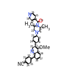 COc1c(-c2ccc(N3CC(C)N(C(=O)c4ccncc4)C(C)C3)cc2)cnc2c(-c3ccc(C#N)cc3)cccc12